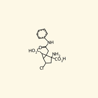 NC1(C(=O)O)CC(Cl)C2C(C(=O)O)C21CC(=O)Nc1ccccc1